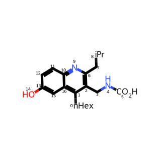 CCCCCCc1c(CNC(=O)O)c(CC(C)C)nc2ccc(O)cc12